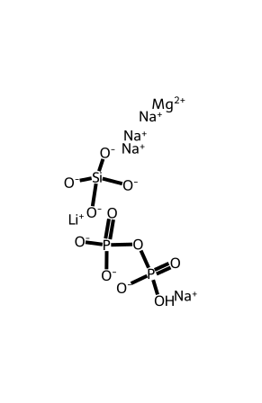 O=P([O-])([O-])OP(=O)([O-])O.[Li+].[Mg+2].[Na+].[Na+].[Na+].[Na+].[O-][Si]([O-])([O-])[O-]